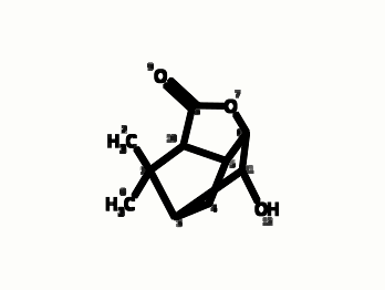 CC1(C)C2CC3C(OC(=O)C31)C2O